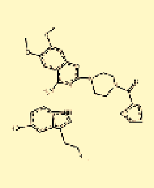 COc1cc2nc(N3CCN(C(=O)c4ccco4)CC3)nc(N)c2cc1OC.NCCc1c[nH]c2ccc(O)cc12